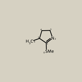 CSC1=NCCC1C